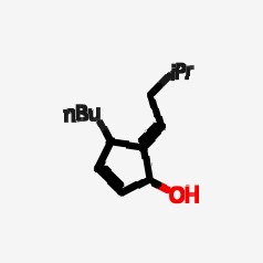 CCCCC1C=CC(O)/C1=C/CC(C)C